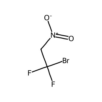 O=[N+]([O-])CC(F)(F)Br